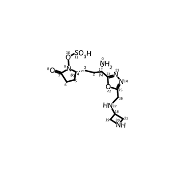 N[C@@H](CC[C@@H]1CCC(=O)N1OS(=O)(=O)O)c1nnc(CNC2CNC2)o1